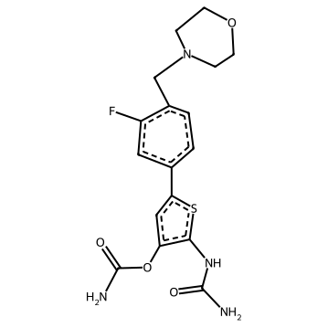 NC(=O)Nc1sc(-c2ccc(CN3CCOCC3)c(F)c2)cc1OC(N)=O